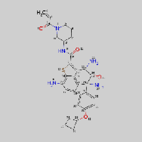 C=CC(=O)N1CCCC(NC(=O)c2sc3c(N)ccc4c3c2C(N)C(=O)C4(N)c2ccc(OC3CCC3)cc2)C1